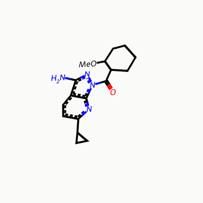 COC1CCCCC1C(=O)n1nc(N)c2ccc(C3CC3)nc21